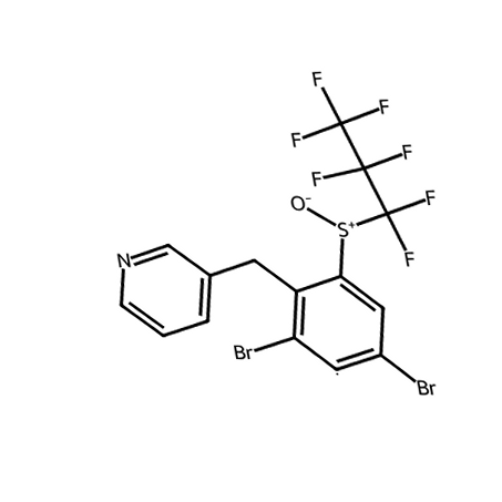 [O-][S+](c1cc(Br)[c]c(Br)c1Cc1cccnc1)C(F)(F)C(F)(F)C(F)(F)F